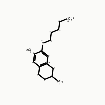 Cl.NC1CCc2ccc(OCCCCC(=O)O)cc2C1